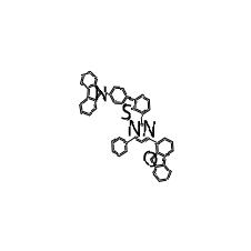 c1ccc(-c2cc(-c3cccc4c3oc3ccccc34)nc(-c3cccc4c3sc3cc(-n5c6ccccc6c6ccccc65)ccc34)n2)cc1